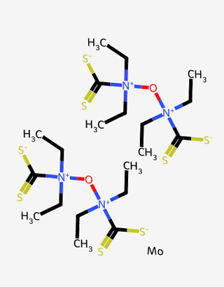 CC[N+](CC)(O[N+](CC)(CC)C(=S)[S-])C(=S)[S-].CC[N+](CC)(O[N+](CC)(CC)C(=S)[S-])C(=S)[S-].[Mo]